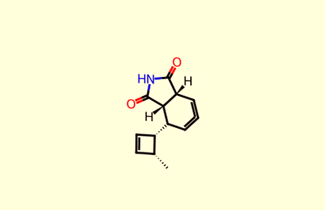 C[C@@H]1C=C[C@@H]1C1C=C=C[C@H]2C(=O)NC(=O)[C@@H]12